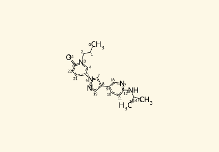 CCCn1cc(-n2cc(-c3ccc(NC(C)C)nc3)cn2)ccc1=O